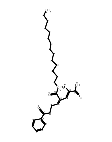 CCCCCCCCCCCCCCOC(=O)C(C=C(C)C(=O)O)=CCCC(=O)c1ccccc1